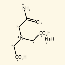 NC(=O)CN(CC(=O)O)CC(=O)O.[NaH]